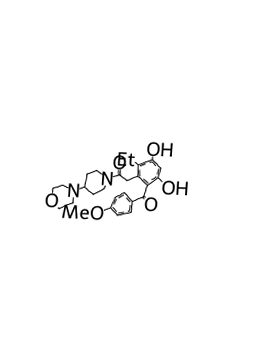 CCc1c(O)cc(O)c(C(=O)c2ccc(OC)cc2)c1CC(=O)N1CCC(N2CCOCC2)CC1